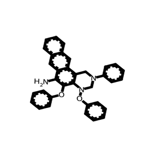 Nc1c(Oc2ccccc2)c2c(c3cc4ccccc4cc13)CN(c1ccccc1)CN2Oc1ccccc1